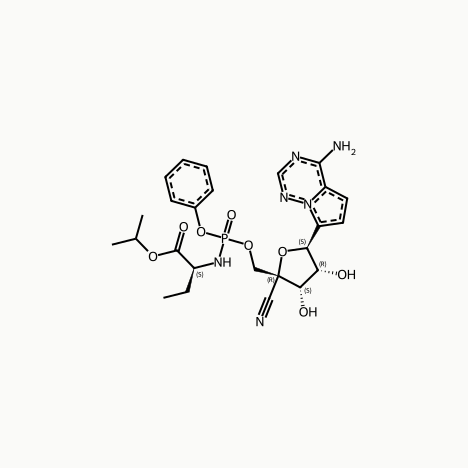 CC[C@H](NP(=O)(OC[C@@]1(C#N)O[C@@H](c2ccc3c(N)ncnn23)[C@H](O)[C@@H]1O)Oc1ccccc1)C(=O)OC(C)C